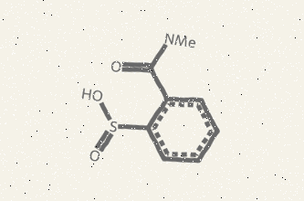 CNC(=O)c1ccccc1S(=O)O